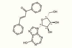 O=C(C=Cc1ccccc1)c1ccccc1.OC[C@H]1O[C@@H](n2cnc3c(O)ncnc32)[C@H](O)[C@@H]1O